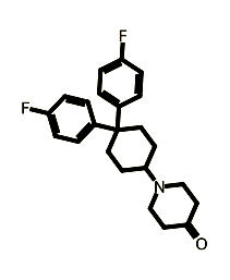 O=C1CCN(C2CCC(c3ccc(F)cc3)(c3ccc(F)cc3)CC2)CC1